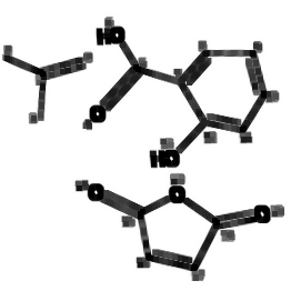 C=C(C)C.O=C(O)c1ccccc1O.O=C1C=CC(=O)O1